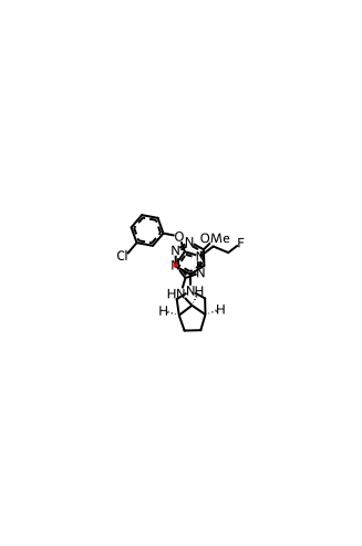 COc1cc(N2C[C@H]3CC[C@@H](C2)[C@H]3Nc2nc(Oc3cccc(Cl)c3)n(CCF)n2)cnn1